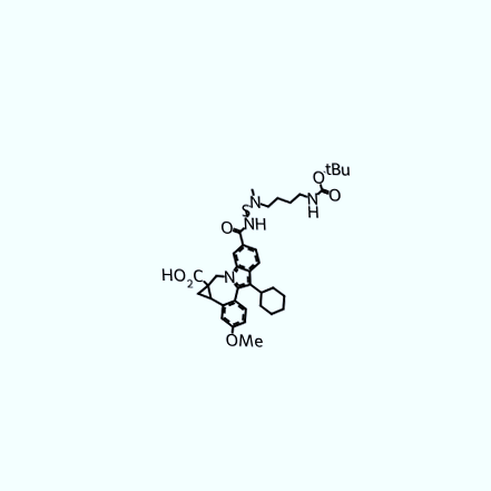 COc1ccc2c(c1)C1CC1(C(=O)O)Cn1c-2c(C2CCCCC2)c2ccc(C(=O)NSN(C)CCCCNC(=O)OC(C)(C)C)cc21